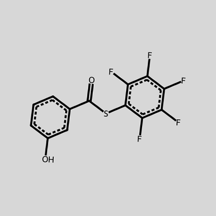 O=C(Sc1c(F)c(F)c(F)c(F)c1F)c1cccc(O)c1